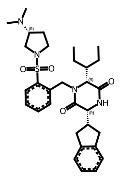 CCC(CC)[C@@H]1C(=O)N[C@H](C2Cc3ccccc3C2)C(=O)N1Cc1ccccc1S(=O)(=O)N1CC[C@@H](N(C)C)C1